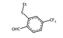 CCSc1cc(C(F)(F)F)ccc1C=O